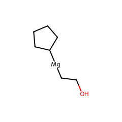 OC[CH2][Mg][CH]1CCCC1